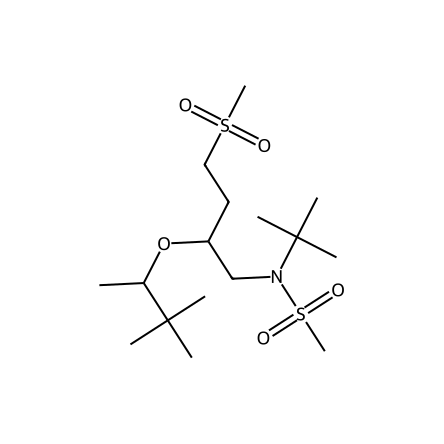 CC(OC(CCS(C)(=O)=O)CN(C(C)(C)C)S(C)(=O)=O)C(C)(C)C